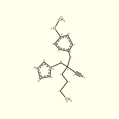 CCCCC(C#N)(Cc1ccc(OC)cc1)Cn1cnnc1